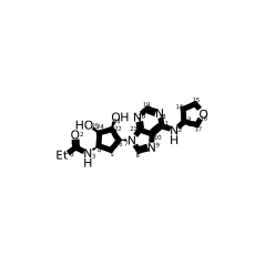 CCC(=O)N[C@H]1C[C@@H](n2cnc3c(NC4CCOC4)ncnc32)[C@H](O)[C@@H]1O